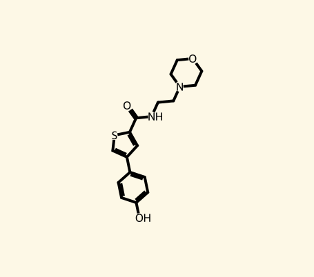 O=C(NCCN1CCOCC1)c1cc(-c2ccc(O)cc2)cs1